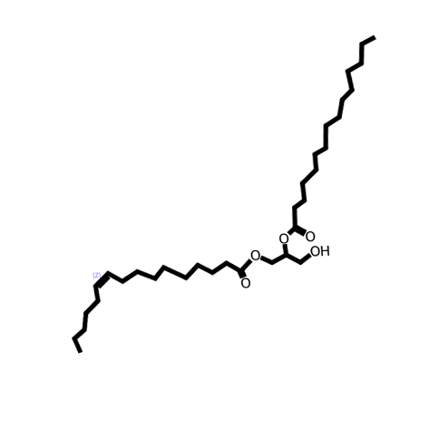 CCCCC/C=C\CCCCCCCCC(=O)OCC(CO)OC(=O)CCCCCCCCCCCCCC